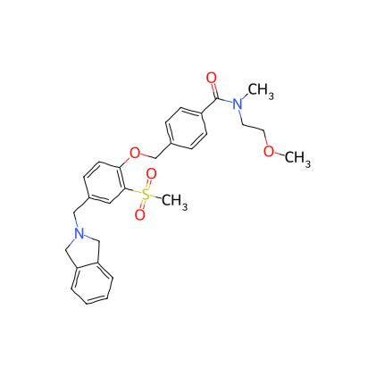 COCCN(C)C(=O)c1ccc(COc2ccc(CN3Cc4ccccc4C3)cc2S(C)(=O)=O)cc1